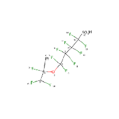 CC(C)C(F)(OC(F)(F)C(F)(F)C(F)(F)C(F)(F)S(=O)(=O)O)C(F)F